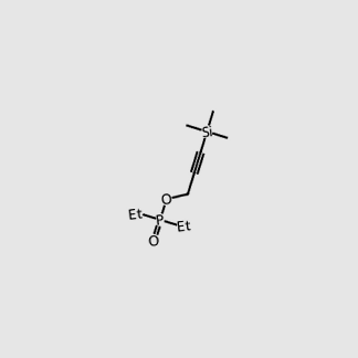 CCP(=O)(CC)OCC#C[Si](C)(C)C